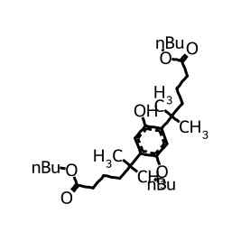 CCCCOC(=O)CCCC(C)(C)c1cc(OCCCC)c(C(C)(C)CCCC(=O)OCCCC)cc1O